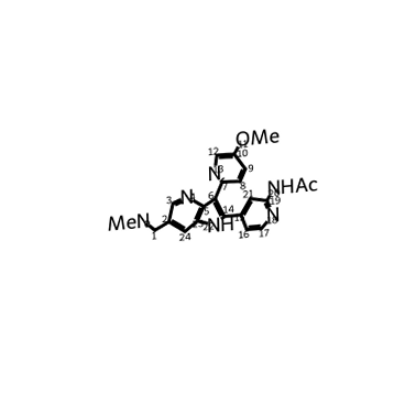 CNCc1cnc2c(-c3ccc(OC)cn3)c(-c3ccnc(NC(C)=O)c3)[nH]c2c1